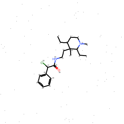 CCC1CCN(C)C(CC)C1(C)CCNC(=O)C(Cl)c1ccccc1